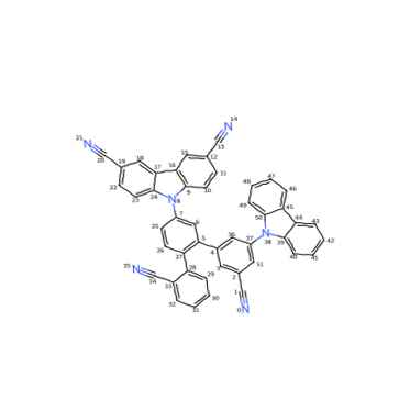 N#Cc1cc(-c2cc(-n3c4ccc(C#N)cc4c4cc(C#N)ccc43)ccc2-c2ccccc2C#N)cc(-n2c3ccccc3c3ccccc32)c1